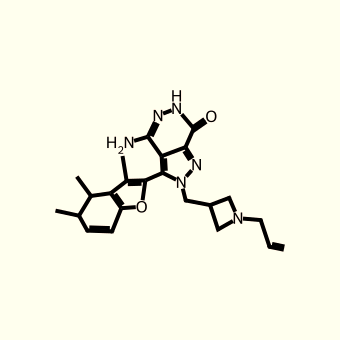 C=CCN1CC(Cn2nc3c(=O)[nH]nc(N)c3c2-c2oc3c(c2C)C(C)C(C)C=C3)C1